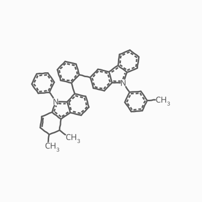 Cc1cccc(-n2c3ccccc3c3cc(-c4ccccc4-c4cccc5c6c(n(-c7ccccc7)c45)C=CC(C)C6C)ccc32)c1